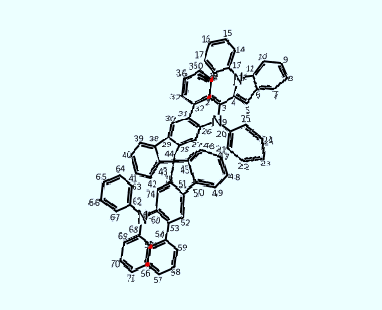 C=C/C=C(\c1cc2ccccc2n1-c1ccccc1)N(c1ccccc1)c1cc2c(cc1-c1ccccc1)-c1ccccc1C21c2ccccc2-c2cc(-c3ccccc3)c(N(c3ccccc3)c3ccccc3)cc21